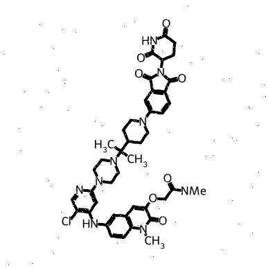 CNC(=O)COc1cc2cc(Nc3cc(N4CCN(C(C)(C)C5CCN(c6ccc7c(c6)C(=O)N(C6CCC(=O)NC6=O)C7=O)CC5)CC4)ncc3Cl)ccc2n(C)c1=O